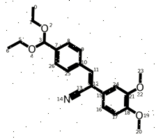 CCOC(OCC)c1ccc(/C=C(\C#N)c2ccc(OC)c(OC)c2)cc1